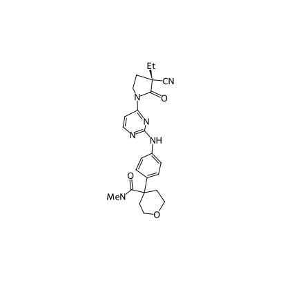 CC[C@]1(C#N)CCN(c2ccnc(Nc3ccc(C4(C(=O)NC)CCOCC4)cc3)n2)C1=O